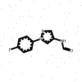 O=CNc1cnn(-c2ccc(F)cc2)c1